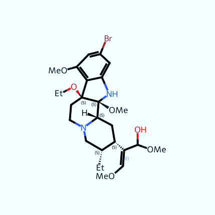 CCO[C@]12CCN3C[C@@H](CC)[C@@H](/C(=C\OC)C(O)OC)C[C@H]3[C@@]1(OC)Nc1cc(Br)cc(OC)c12